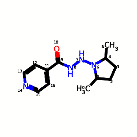 CC1CCC(C)N1NNC(=O)c1ccncc1